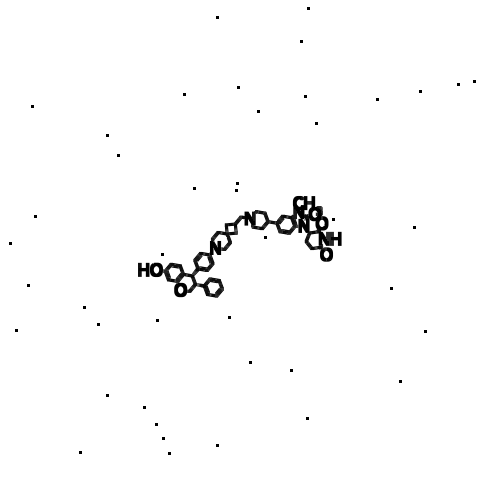 Cn1c(=O)n(C2CCC(=O)NC2=O)c2ccc(C3CCN(CC4CC5(CCN(c6ccc([C@@H]7c8ccc(O)cc8OC[C@@H]7c7ccccc7)cc6)CC5)C4)CC3)cc21